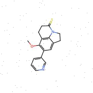 COc1c(-c2cccnc2)cc2c3c1CCC(=S)N3CC2